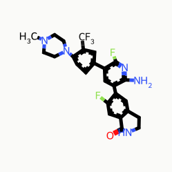 CN1CCN(c2ccc(-c3cc(-c4cc5c(cc4F)C(=O)NCC5)c(N)nc3F)cc2C(F)(F)F)CC1